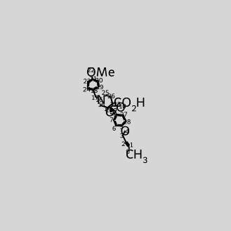 CC#CCOc1ccc(S(=O)(=O)C2(C(=O)O)CCN(Cc3ccc(OC)cc3)CC2)cc1